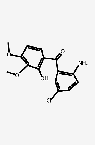 COc1ccc(C(=O)c2cc(Cl)ccc2N)c(O)c1OC